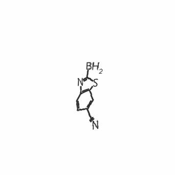 Bc1nc2ccc(C#N)cc2s1